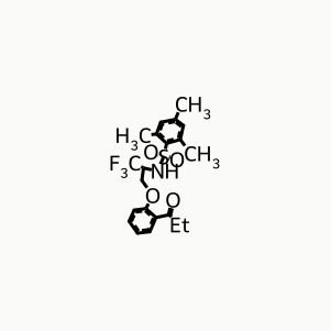 CCC(=O)c1ccccc1OCC(NS(=O)(=O)c1c(C)cc(C)cc1C)C(F)(F)F